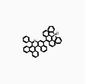 O=P(c1ccccc1)(c1ccccc1)c1c2ccccc2c(-c2cc3nc(-c4ccccc4)c4c5ccccc5c5ccccc5c4c3c3ccccc23)c2ccccc12